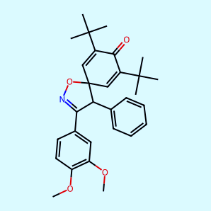 COc1ccc(C2=NOC3(C=C(C(C)(C)C)C(=O)C(C(C)(C)C)=C3)C2c2ccccc2)cc1OC